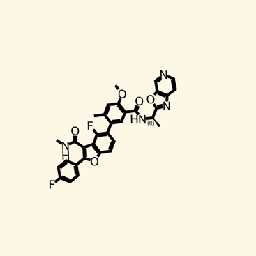 CNC(=O)c1c(-c2ccc(F)cc2)oc2ccc(-c3cc(C(=O)N[C@H](C)c4nc5ccncc5o4)c(OC)cc3C)c(F)c12